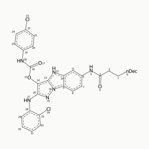 CCCCCCCCCCCCC(=O)Nc1ccc2c(c1)[nH]c1c(OC(=O)Nc3ccc(Cl)cc3)c(Nc3ccccc3Cl)nn12